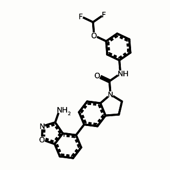 Nc1noc2cccc(-c3ccc4c(c3)CCN4C(=O)Nc3cccc(OC(F)F)c3)c12